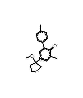 COC1(n2cc(C)c(=O)c(-c3ccc(C)cc3)c2)CCOC1